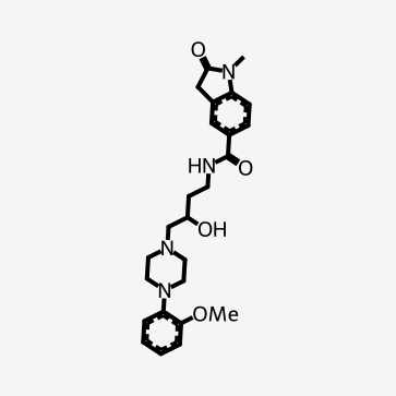 COc1ccccc1N1CCN(CC(O)CCNC(=O)c2ccc3c(c2)CC(=O)N3C)CC1